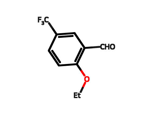 CCOc1ccc(C(F)(F)F)cc1C=O